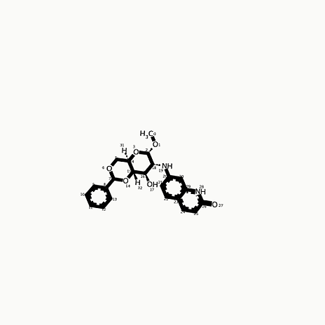 CO[C@H]1O[C@@H]2COC(c3ccccc3)O[C@H]2[C@H](O)[C@H]1Nc1ccc2ccc(=O)[nH]c2c1